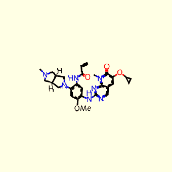 C=CC(=O)Nc1cc(Nc2ncc3cc(OC4CC4)c(=O)n(C)c3n2)c(OC)cc1N1C[C@H]2CN(C)C[C@H]2C1